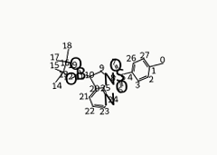 Cc1ccc(S(=O)(=O)N2CC(B3OC(C)(C)C(C)(C)O3)c3cccnc32)cc1